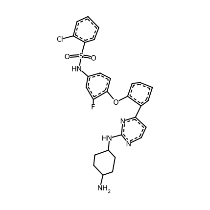 NC1CCC(Nc2nccc(-c3ccccc3Oc3ccc(NS(=O)(=O)c4ccccc4Cl)cc3F)n2)CC1